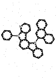 c1ccc(-n2c3ccc4c5ccccc5n(-c5cc6ccccc6c6ccccc56)c4c3c3cccnc32)cc1